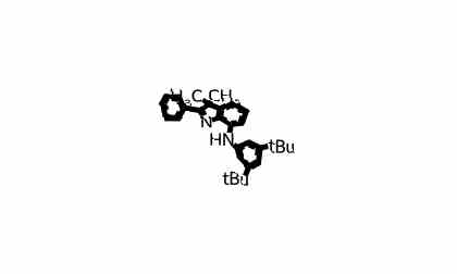 CC(C)(C)c1cc(Nc2cccc3c2N=C(c2ccccc2)C3(C)C)cc(C(C)(C)C)c1